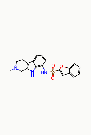 CN1CCc2c([nH]c3c(NS(=O)(=O)c4cc5ccccc5o4)cccc23)C1